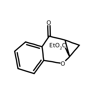 CCOC(=O)C12CC1C(=O)c1ccccc1O2